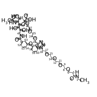 CCNC(=O)CCOCCOCCOCCOCCn1cc(COCCOCCO[C@]2(C(=O)O)C[C@H](O)[C@@H](NC(C)=O)[C@H]([C@H](O)[C@H](O)CNC(=O)c3cccc(Oc4ccccc4)c3)O2)nn1